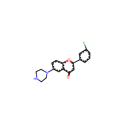 O=c1cc(-c2cccc(F)c2)oc2ccc(N3CCNCC3)cc12